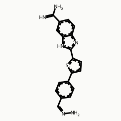 N=C(N)c1ccc2nc(-c3ccc(-c4ccc(/C=N\N)cc4)s3)[nH]c2c1